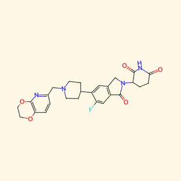 O=C1CCC(N2Cc3cc(C4CCN(Cc5ccc6c(n5)OCCO6)CC4)c(F)cc3C2=O)C(=O)N1